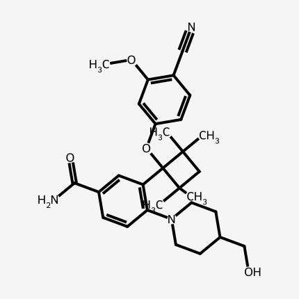 COc1cc(OC2(c3cc(C(N)=O)ccc3N3CCC(CO)CC3)C(C)(C)CC2(C)C)ccc1C#N